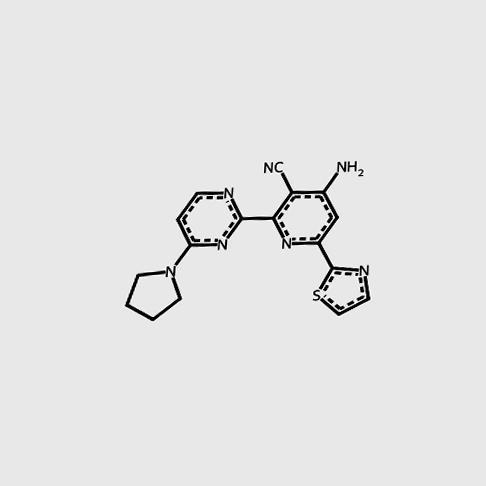 N#Cc1c(N)cc(-c2nccs2)nc1-c1nccc(N2CCCC2)n1